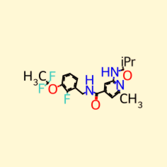 Cc1cc(C(=O)NCc2cccc(OC(C)(F)F)c2F)cc(NC(=O)C(C)C)n1